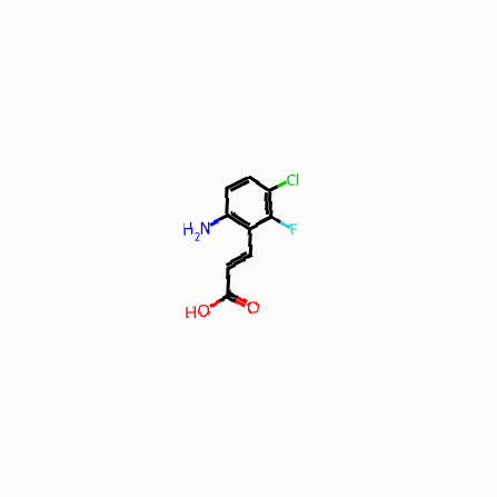 Nc1ccc(Cl)c(F)c1C=CC(=O)O